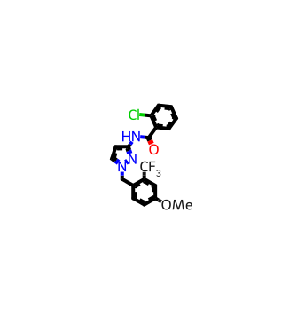 COc1ccc(Cn2ccc(NC(=O)c3ccccc3Cl)n2)c(C(F)(F)F)c1